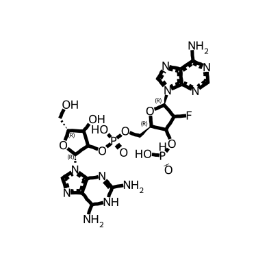 NC1=Nc2c(ncn2[C@@H]2O[C@H](CO)C(O)C2OP(=O)(O)OC[C@H]2O[C@@H](n3cnc4c(N)ncnc43)C(F)C2O[PH](=O)O)C(N)N1